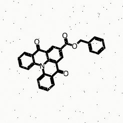 O=C(OCc1ccccc1)c1cc2c(=O)c3ccccc3n3c4ccccc4c(=O)c(c1)c23